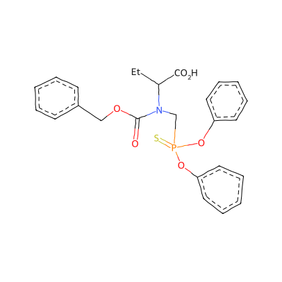 CCC(C(=O)O)N(CP(=S)(Oc1ccccc1)Oc1ccccc1)C(=O)OCc1ccccc1